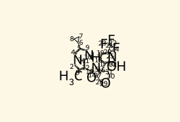 Cc1cn2cc(C3CC3)cnc2c1C(=O)NC1(c2ccc(C(F)(F)F)nc2)CCOCC1O